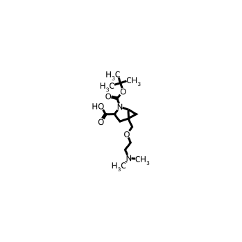 CN(C)CCOCC12CC(C(=O)O)N(C(=O)OC(C)(C)C)C1C2